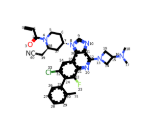 C=CC(=O)N1CC[C@H](n2cnc3c(N4CC(N(C)C)C4)nc4c(F)c(-c5ccccc5C)c(Cl)cc4c32)C[C@H]1CC#N